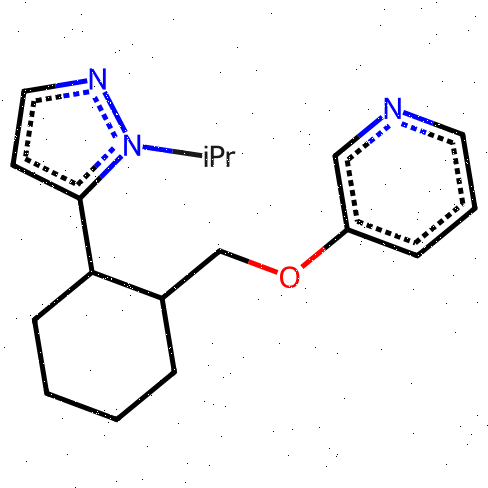 CC(C)n1nccc1C1CCCCC1COc1cccnc1